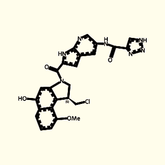 COc1cccc2c(O)cc3c(c12)[C@H](CCl)CN3C(=O)c1cc2cc(NC(=O)c3c[nH]nn3)cnc2[nH]1